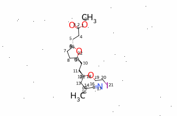 COC(=O)CC[C@H]1CC[C@H](CC[C@H](C[C@@H](C)C#N)OCCI)O1